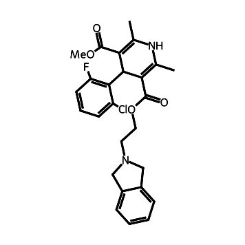 COC(=O)C1=C(C)NC(C)=C(C(=O)OCCN2Cc3ccccc3C2)C1c1c(F)cccc1Cl